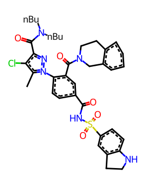 CCCCN(CCCC)C(=O)c1nn(-c2ccc(C(=O)NS(=O)(=O)c3ccc4c(c3)CCN4)cc2C(=O)N2CCc3ccccc3C2)c(C)c1Cl